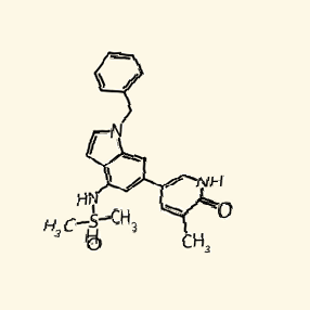 Cc1cc(-c2cc(N[SH](C)(C)=O)c3ccn(Cc4ccccc4)c3c2)c[nH]c1=O